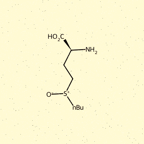 CCCC[S+]([O-])CC[C@H](N)C(=O)O